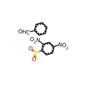 O=[C]c1ccccc1.O=[N+]([O-])c1ccc([SH](=O)=O)c([N+](=O)[O-])c1